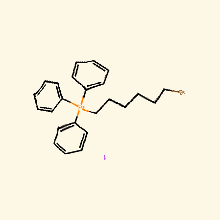 BrCCCCCC[P+](c1ccccc1)(c1ccccc1)c1ccccc1.[I-]